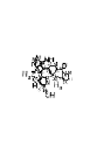 C#Cc1cc(C)c(-c2c(C3=CC[C@H](C(=O)N4CCC[C@H]4C)CC3)c3c(N)ncnc3n2C)cn1